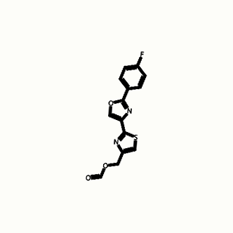 O=COCc1csc(-c2coc(-c3ccc(F)cc3)n2)n1